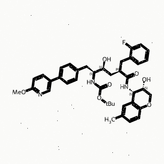 COc1ccc(-c2ccc(C[C@H](NC(=O)OC(C)(C)C)[C@@H](O)C[C@@H](Cc3ccccc3F)C(=O)N[C@H]3c4cc(C)ccc4OC[C@H]3O)cc2)cn1